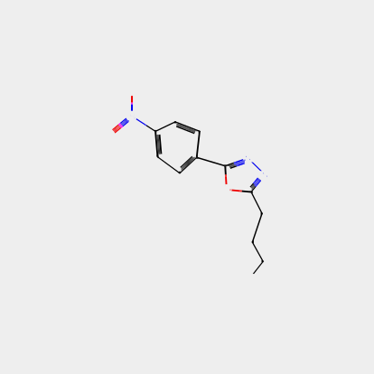 CCCCc1nnc(-c2ccc([N+](=O)[O-])cc2)o1